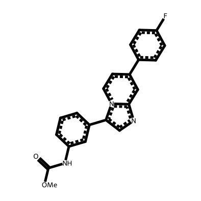 COC(=O)Nc1cccc(-c2cnc3cc(-c4ccc(F)cc4)ccn23)c1